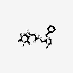 CN1C=CN(Cc2ccccc2)C1CNC(=O)Cn1[nH]c2c1c(=O)n(C)c(=O)n2C